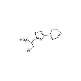 CCOC(=O)C(CC(C)C)c1nc(-c2ccccc2)cs1